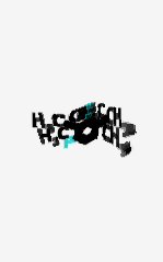 CC(C)(C)c1ccc(F)c(C(C)(C)C)c1F